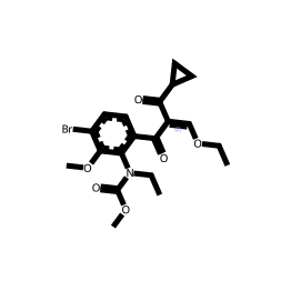 CCO/C=C(\C(=O)c1ccc(Br)c(OC)c1N(CC)C(=O)OC)C(=O)C1CC1